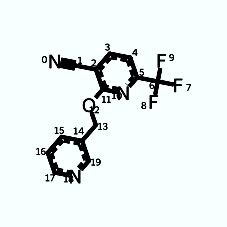 N#Cc1ccc(C(F)(F)F)nc1OCc1cccnc1